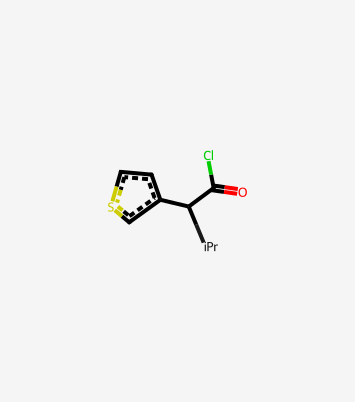 CC(C)C(C(=O)Cl)c1ccsc1